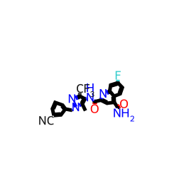 Cc1c(NC(=O)c2cc(C(N)=O)c3ccc(F)cc3n2)c(C(F)(F)F)nn1Cc1cccc(C#N)c1